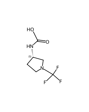 O=C(O)N[C@H]1CCN(C(F)(F)F)C1